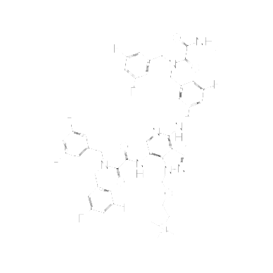 C[Si](C)(C)CCOCn1ncc2c(N)ncc(NC(=O)C(=O)N(Cc3cc(F)cc(F)c3)Cc3cc(F)cc(F)c3)c21.NC(=O)C(=O)N(Cc1cc(F)cc(F)c1)Cc1cc(F)cc(F)c1